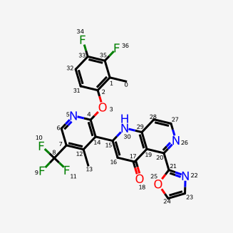 Cc1c(Oc2ncc(C(F)(F)F)c(C)c2-c2cc(=O)c3c(-c4ncco4)nccc3[nH]2)ccc(F)c1F